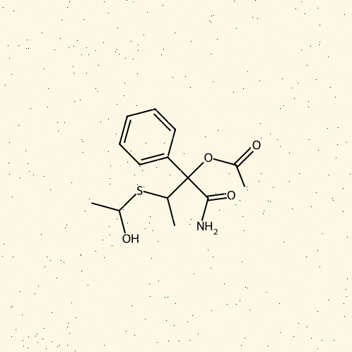 CC(=O)OC(C(N)=O)(c1ccccc1)C(C)SC(C)O